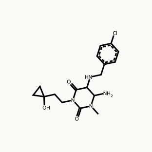 CN1C(=O)N(CCC2(O)CC2)C(=O)C(NCc2ccc(Cl)cc2)C1N